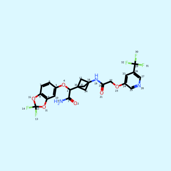 NC(=O)C(Oc1ccc2c(c1)OC(F)(F)O2)C12CC(NC(=O)COc3cncc(C(F)(F)F)c3)(C1)C2